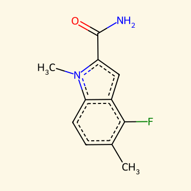 Cc1ccc2c(cc(C(N)=O)n2C)c1F